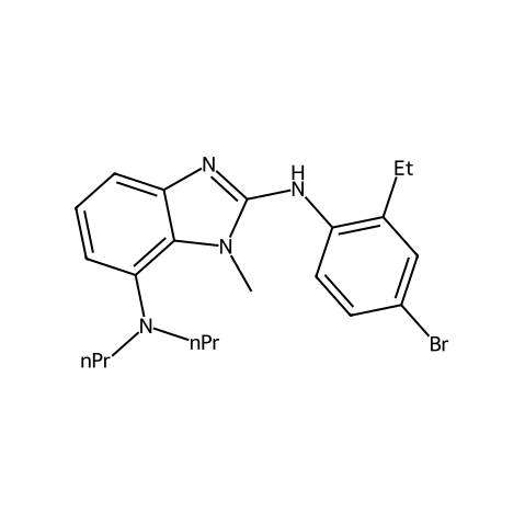 CCCN(CCC)c1cccc2nc(Nc3ccc(Br)cc3CC)n(C)c12